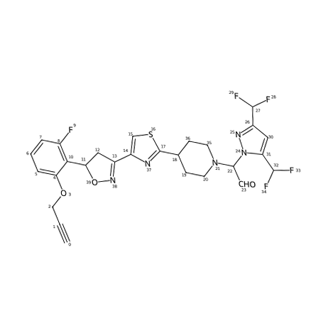 C#CCOc1cccc(F)c1C1CC(c2csc(C3CCN(C(C=O)n4nc(C(F)F)cc4C(F)F)CC3)n2)=NO1